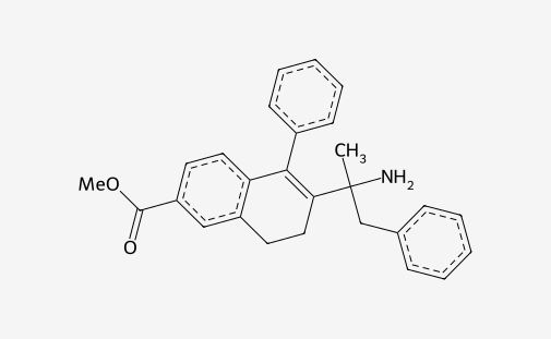 COC(=O)c1ccc2c(c1)CCC(C(C)(N)Cc1ccccc1)=C2c1ccccc1